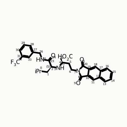 CC(C)C[C@H](N[C@H](CCN1C(=O)c2cc3ccccc3cc2C1=O)C(=O)O)C(=O)NCc1cccc(C(F)(F)F)c1